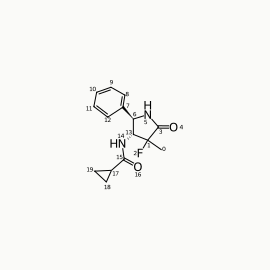 CC1(F)C(=O)N[C@H](c2ccccc2)[C@H]1NC(=O)C1CC1